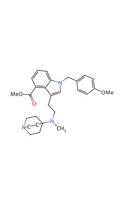 COC(=O)c1cccc2c1c(CCN(C)C13CCN(CC1)CC3)cn2Cc1ccc(OC)cc1